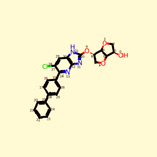 O[C@@H]1COC2C1OC[C@@H]2Oc1nc2nc(-c3ccc(-c4ccccc4)cc3)c(Cl)cc2[nH]1